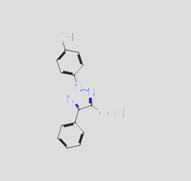 CCOC(=O)c1nn(-c2ccc(C)cc2)nc1-c1ccccc1